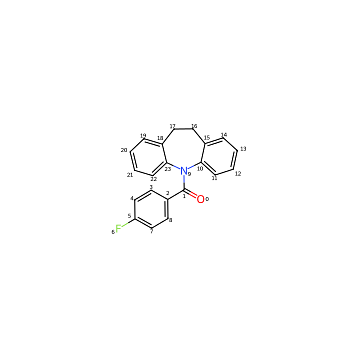 O=C(c1ccc(F)cc1)N1c2ccccc2CCc2ccccc21